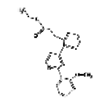 CCOC(=O)CCc1ccccc1-c1ccnc(-c2ccccc2OC)n1